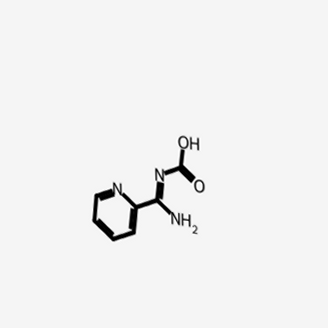 NC(=NC(=O)O)c1ccccn1